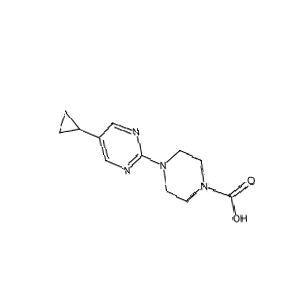 O=C(O)N1CCN(c2ncc(C3CC3)cn2)CC1